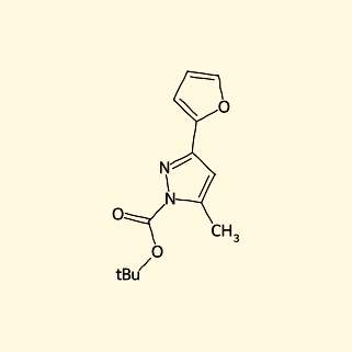 Cc1cc(-c2ccco2)nn1C(=O)OC(C)(C)C